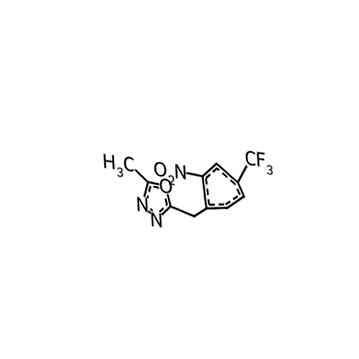 Cc1nnc(Cc2ccc(C(F)(F)F)cc2[N+](=O)[O-])o1